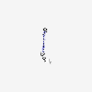 CC1=C(/C=C/C(C)=C/C=C/C(C)=C/C=C/C=C(C)/C=C/C=C(C)/C=C/C2=C(C)CCC(c3ccc(N)cc3)C2(C)C)C(C)(C)CCC1